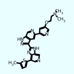 Cc1ccc(-c2cncc3[nH]c(-c4n[nH]c5cnc(-c6cncc(OCCN(C)C)c6)cc45)nc23)s1